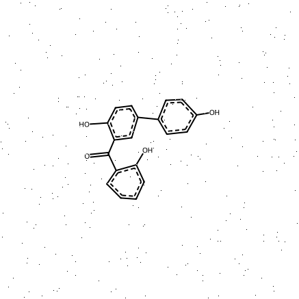 O=C(c1ccccc1O)c1cc(-c2ccc(O)cc2)ccc1O